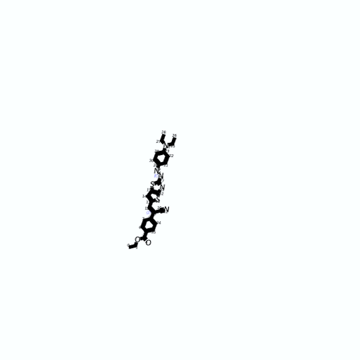 CCOC(=O)c1ccc(/C(C#N)=C/c2cc3sc(/N=N/c4ccc(N(CC)CC)cc4)nc3s2)cc1